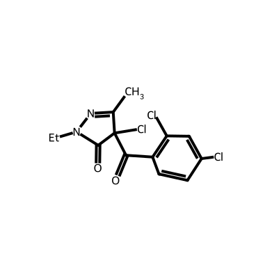 CCN1N=C(C)C(Cl)(C(=O)c2ccc(Cl)cc2Cl)C1=O